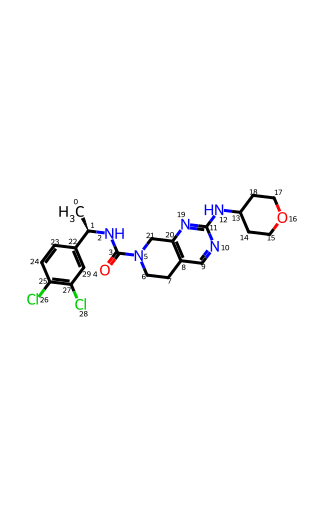 C[C@@H](NC(=O)N1CCc2cnc(NC3CCOCC3)nc2C1)c1ccc(Cl)c(Cl)c1